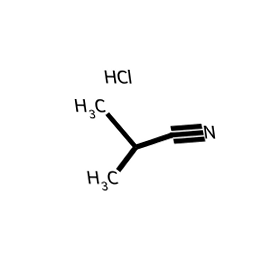 CC(C)C#N.Cl